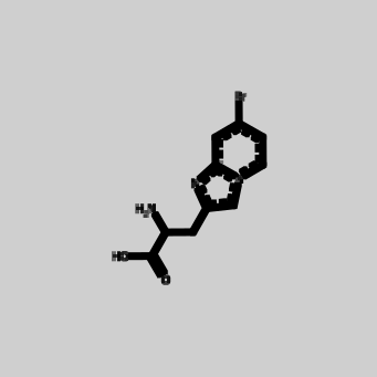 NC(Cc1cn2ccc(Br)cc2n1)C(=O)O